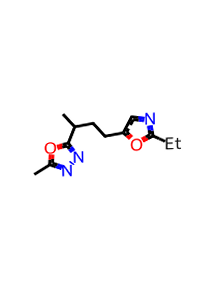 CCc1ncc(CCC(C)c2nnc(C)o2)o1